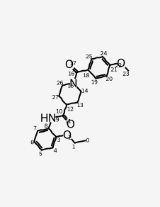 CCOc1ccccc1NC(=O)C1CCN(C(=O)c2ccc(OC)cc2)CC1